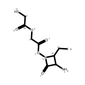 NC1C(=O)N(OC(=O)COC(=O)CS)C1CI